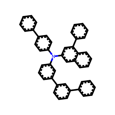 c1ccc(-c2ccc(N(c3cccc(-c4cccc(-c5ccccc5)c4)c3)c3cc(-c4ccccc4)c4ccccc4c3)cc2)cc1